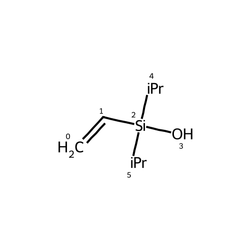 C=C[Si](O)(C(C)C)C(C)C